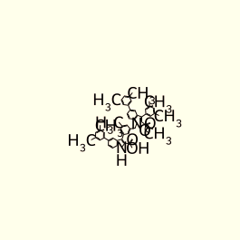 COC(=O)c1c(-c2cc(C)cc(C)c2)c2cc(-c3cc(C)cc(C)c3)ccc2n1Cc1cc(C)cc(-c2c(C(=O)O)[nH]c3ccc(-c4cc(C)cc(C)c4)cc23)c1